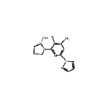 CO[C@H]1CCCN1c1nc(-n2cccn2)nc(N)c1Br